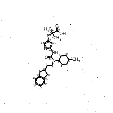 CC1CCC(N(CCC2Cc3ccccc3C2)C(=O)Nc2ncc(SC(C)(C)C(=O)O)s2)CC1